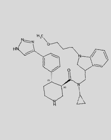 COCCCN1CC(CN(C(=O)[C@H]2CNCC[C@@H]2c2cccc(-c3c[nH]nn3)c2)C2CC2)c2ccccc21